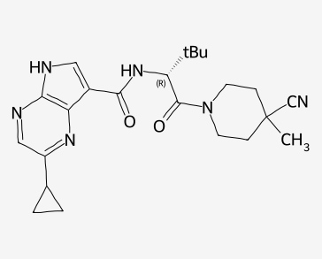 CC1(C#N)CCN(C(=O)[C@H](NC(=O)c2c[nH]c3ncc(C4CC4)nc23)C(C)(C)C)CC1